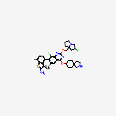 N#Cc1c(N)sc2c(F)ccc(-c3c(C(F)(F)F)cc4c(OC5CCC6(CCNC6)CC5)nc(OCC56CCCN5CC(F)C6)nc4c3F)c12